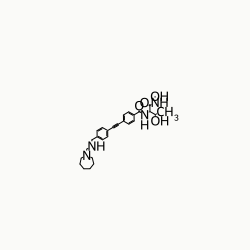 C[C@@H](O)[C@H](NC(=O)c1ccc(C#Cc2ccc(CNCN3CCCCCC3)cc2)cc1)C(=O)NO